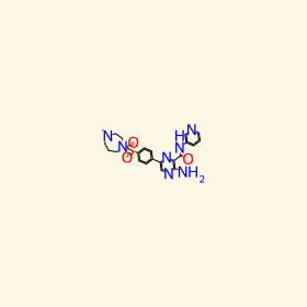 CN1CCCN(S(=O)(=O)c2ccc(-c3cnc(N)c(C(=O)Nc4cccnc4)n3)cc2)CC1